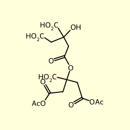 CC(=O)OC(=O)CC(CC(=O)OC(C)=O)(OC(=O)CC(O)(CC(=O)O)C(=O)O)C(=O)O